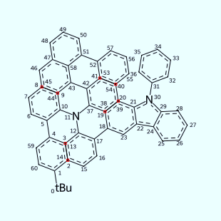 CC(C)(C)c1ccc(-c2ccccc2N(c2ccccc2-c2ccc3c(c2)c2ccccc2n3-c2ccccc2)c2ccccc2-c2cccc3cccc(-c4ccccc4)c23)cc1